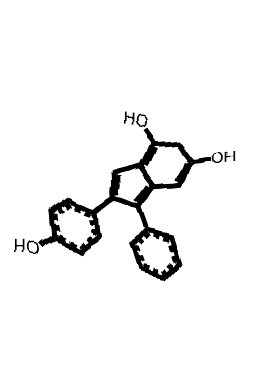 OC1=CC2=C(c3ccccc3)C(c3ccc(O)cc3)=CC2=C(O)C1